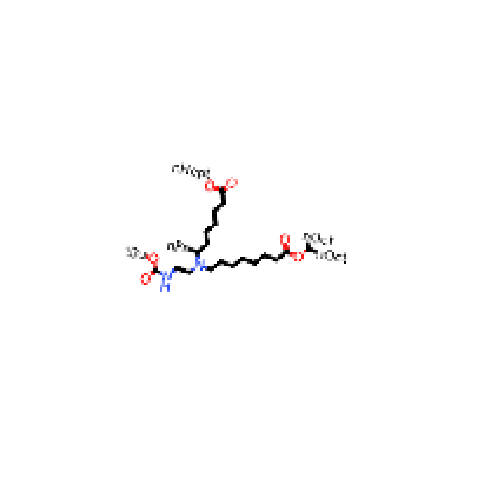 CCCCCCCCC(CCCCCCCC)OC(=O)CCCCCCCN(CCNC(=O)OC(C)(C)C)C(CCC)CCCCCC(=O)OCCCCCCC